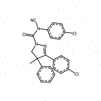 CC1(c2ccccc2)CN(C(=O)N(C#N)c2ccc(Cl)cc2)N=C1c1ccc(Cl)cc1